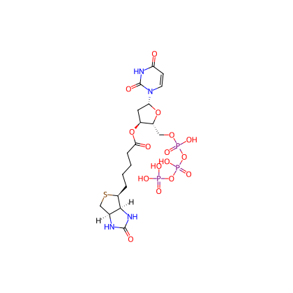 O=C1N[C@H]2[C@H](CS[C@H]2CCCCC(=O)O[C@H]2C[C@H](n3ccc(=O)[nH]c3=O)O[C@@H]2COP(=O)(O)OP(=O)(O)OP(=O)(O)O)N1